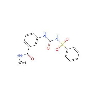 CCCCCCCCNC(=O)c1cccc(NC(=O)NS(=O)(=O)c2ccccc2)c1